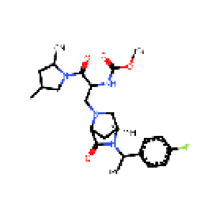 CC1CC(C#N)N(C(=O)C(CN2C[C@@H]3CC2C(=O)N3C(c2ccc(F)cc2)C(C)C)NC(=O)OC(C)(C)C)C1